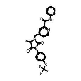 CC1C(=O)N(c2ccc(SC(F)(F)F)cc2)C(=O)N1Cc1ccnc(C(=O)Nc2ccccc2)c1